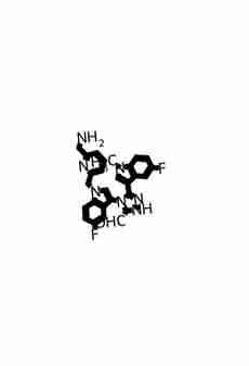 Cn1cc(C2=NNC(C=O)N2c2cn(Cc3cccc(CN)n3)c3ccc(F)cc23)c2cc(F)ccc21